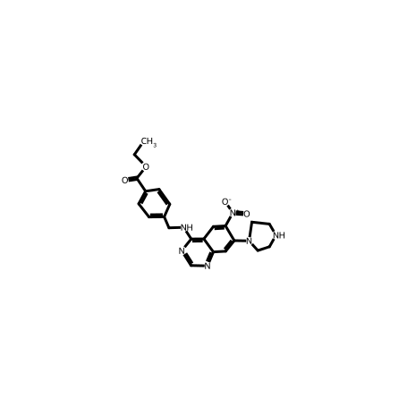 CCOC(=O)c1ccc(CNc2ncnc3cc(N4CCNCC4)c([N+](=O)[O-])cc23)cc1